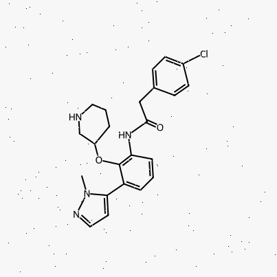 Cn1nccc1-c1cccc(NC(=O)Cc2ccc(Cl)cc2)c1OC1CCCNC1